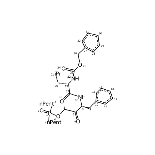 CCCCCP(=O)(CCCCC)OCC(=O)[C@H](Cc1ccccc1)NC(=O)[C@H](CC(C)C)NC(=O)OCc1ccccc1